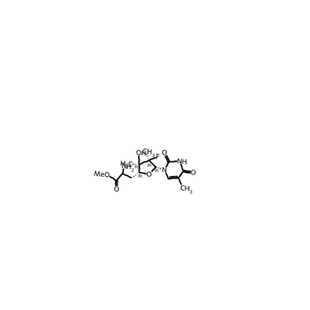 COC(=O)C(N)C[C@H]1O[C@@H](n2cc(C)c(=O)[nH]c2=O)[C@](C)(F)[C@]1(C)O